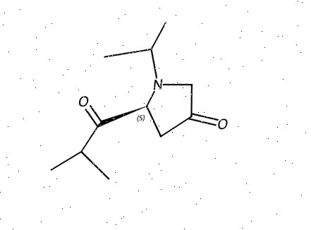 CC(C)C(=O)[C@@H]1CC(=O)CN1C(C)C